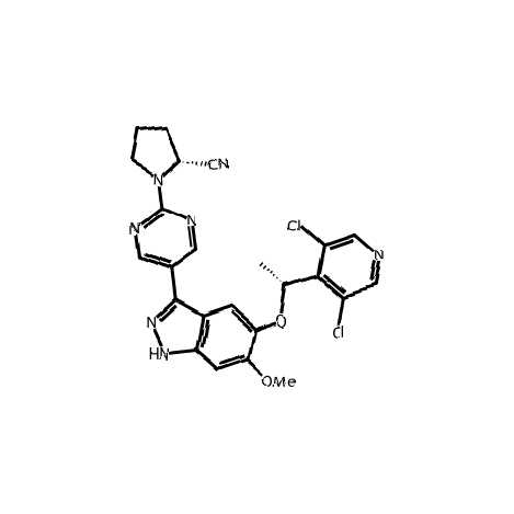 COc1cc2[nH]nc(-c3cnc(N4CCC[C@@H]4C#N)nc3)c2cc1O[C@H](C)c1c(Cl)cncc1Cl